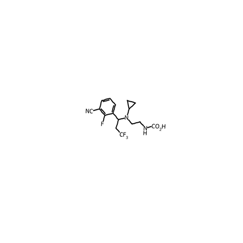 N#Cc1cccc(C(CC(F)(F)F)N(CCNC(=O)O)C2CC2)c1F